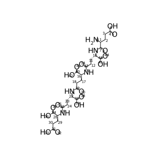 N[C@@H](CCC(=O)O)C(=O)N[C@@H](CCC(=O)N[C@@H](CCC(=O)N[C@@H](CCC(=O)N[C@@H](CCC(=O)O)C(=O)O)C(=O)O)C(=O)O)C(=O)O